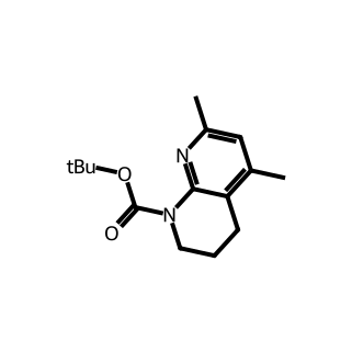 Cc1cc(C)c2c(n1)N(C(=O)OC(C)(C)C)CCC2